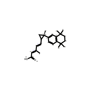 CC(/C=C/C1C[C@]1(C)c1ccc2c(c1)C(C)(C)CCC2(C)C)=C\C(=O)O